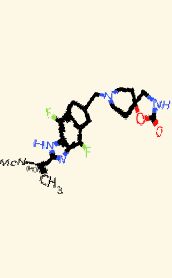 CN[C@H](C)c1nc2c(F)c3c(c(F)c2[nH]1)CC(CN1CCC2(CC1)CNC(=O)O2)C3